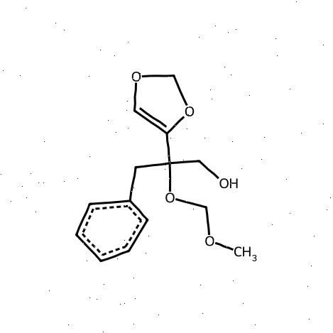 COCOC(CO)(Cc1ccccc1)C1=COCO1